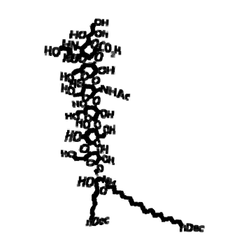 CCCCCCCCCCCCC/C=C/[C@@H](O)[C@H](CO[C@@H]1OC(CO)[C@@H](O[C@@H]2OC(CO)[C@H](O[C@@H]3OC(CO)[C@H](O)[C@H](O[C@@H]4OC(CO)[C@H](O)[C@H](O[C@@H]5OC(CO)[C@H](O)[C@H](O[C@]6(C(=O)O)CC(O)[C@@H](NC(=O)CO)C([C@H](O)[C@H](O)CO)O6)C5O)C4NC(C)=O)C3O)[C@H](O)C2O)[C@H](O)C1O)NC(=O)CCCCCCCCCCCCCCCCCCCCCCCCC